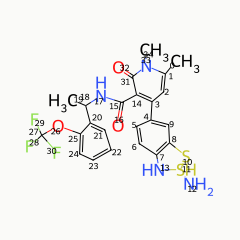 Cc1cc(-c2ccc3c(c2)S[SH](N)N3)c(C(=O)NC(C)c2ccccc2OC(F)(F)F)c(=O)n1C